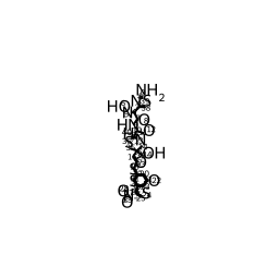 Nc1nc(C(=NO)C(=O)NC2C(=O)N3CC(C=CSc4cc(=O)c5scc([N+](=O)[O-])c5s4)(C(=O)O)CS[C@H]23)cs1